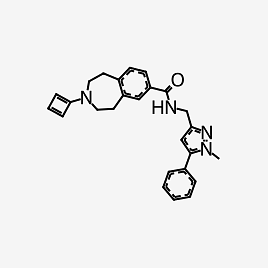 Cn1nc(CNC(=O)c2ccc3c(c2)CCN(C2=CC=C2)CC3)cc1-c1ccccc1